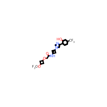 O=C(COC1CC(OC(F)(F)F)C1)NC12CC(n3cnc(-c4ccc(C(F)(F)F)cc4O)c3)(C1)C2